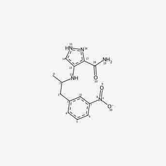 CC(Cc1cccc([N+](=O)[O-])c1)Nc1c[nH]nc1C(N)=O